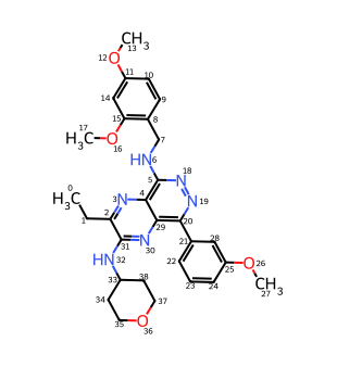 CCc1nc2c(NCc3ccc(OC)cc3OC)nnc(-c3cccc(OC)c3)c2nc1NC1CCOCC1